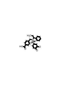 CCC(c1ccccc1)N(Cc1ccc(C(=O)O)cc1)S(=O)(=O)c1ccc(Cl)c(Cl)c1